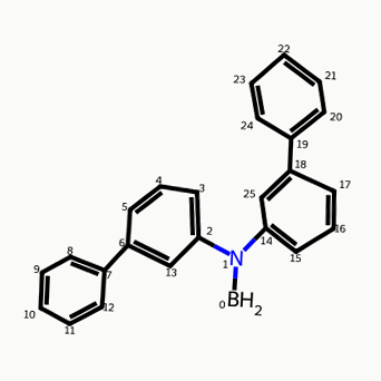 BN(c1cccc(-c2ccccc2)c1)c1cccc(-c2ccccc2)c1